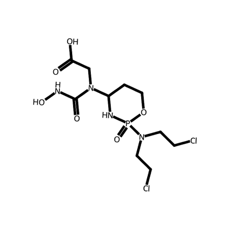 O=C(O)CN(C(=O)NO)C1CCOP(=O)(N(CCCl)CCCl)N1